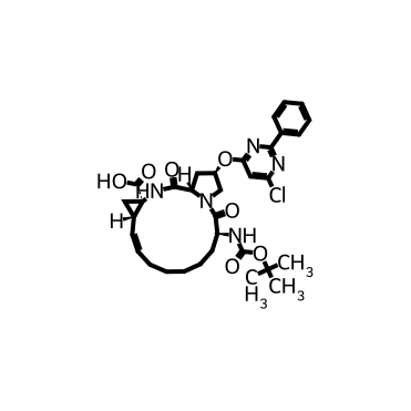 CC(C)(C)OC(=O)N[C@H]1CCCCC/C=C\[C@@H]2C[C@@]2(C(=O)O)NC(=O)[C@@H]2C[C@@H](Oc3cc(Cl)nc(-c4ccccc4)n3)CN2C1=O